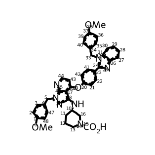 COc1ccc(Cn2nc(N[C@@H]3CCCN(C(=O)O)C3)c3c(Oc4ccc(-c5nc6ccccc6n5Cc5ccc(OC)cc5)cc4)ccnc32)cc1